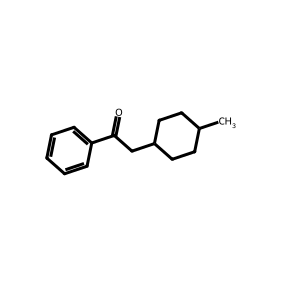 CC1CCC(CC(=O)c2ccccc2)CC1